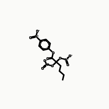 CCCCC(O[N+](=O)[O-])(O[N+](=O)[O-])C(=O)Oc1ccc([N+](=O)[O-])cc1